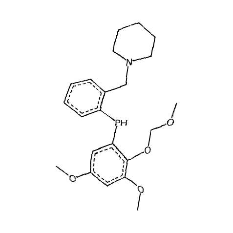 COCOc1c(OC)cc(OC)cc1Pc1ccccc1CN1CCCCC1